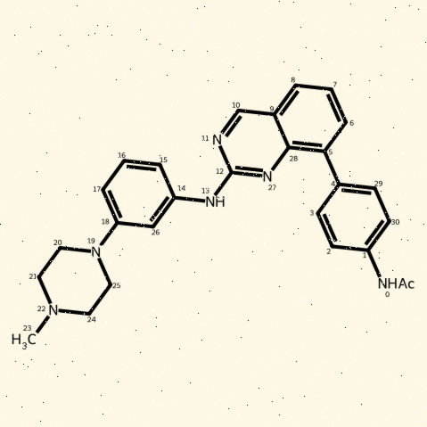 CC(=O)Nc1ccc(-c2cccc3cnc(Nc4cccc(N5CCN(C)CC5)c4)nc23)cc1